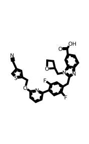 N#Cc1csc(COc2cccc(-c3cc(F)c(Cc4nc5ccc(C(=O)O)cc5n4CC4CCO4)cc3F)n2)c1